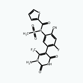 CS(=O)(=O)N(C(=O)c1cccs1)c1cc(-c2c(C(F)(F)F)n(N)c(=O)[nH]c2=O)c(F)cc1C#N